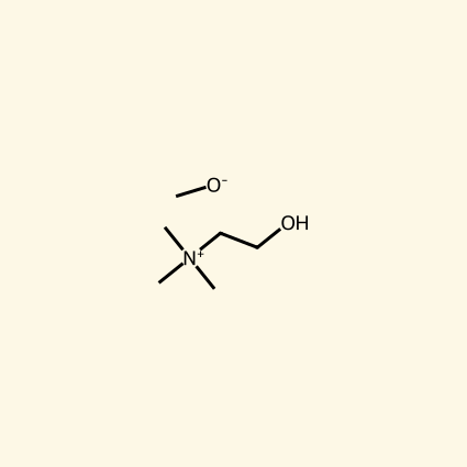 C[N+](C)(C)CCO.C[O-]